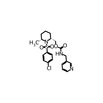 C[C@@H]1CCC[C@H](COC(=O)NCc2cccnc2)N1S(=O)(=O)c1ccc(Cl)cc1